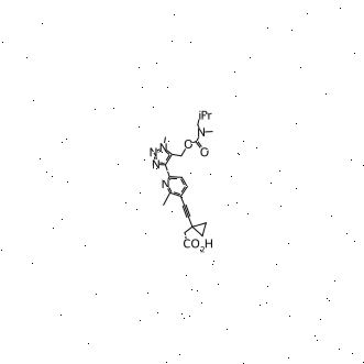 Cc1nc(-c2nnn(C)c2COC(=O)N(C)CC(C)C)ccc1C#CC1(CC(=O)O)CC1